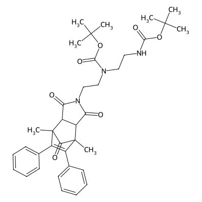 CC(C)(C)OC(=O)NCCN(CCN1C(=O)C2C(C1=O)C1(C)C(=O)C2(C)C(c2ccccc2)=C1c1ccccc1)C(=O)OC(C)(C)C